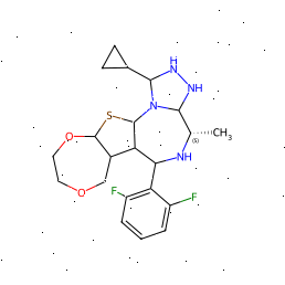 C[C@@H]1NC(c2c(F)cccc2F)C2C3COCCOC3SC2N2C(C3CC3)NNC12